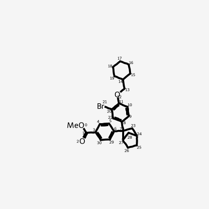 COC(=O)c1ccc(C2(c3ccc(OCC4CCCCC4)c(Br)c3)CC3CCC2C3)cc1